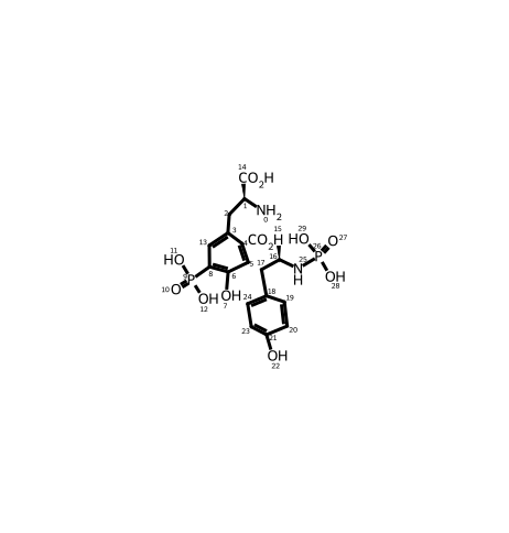 N[C@@H](Cc1ccc(O)c(P(=O)(O)O)c1)C(=O)O.O=C(O)[C@H](Cc1ccc(O)cc1)NP(=O)(O)O